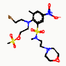 Cc1cc([N+](=O)[O-])cc(S(=O)(=O)N(C)CCN2CCOCC2)c1N(CCBr)CCOS(C)(=O)=O